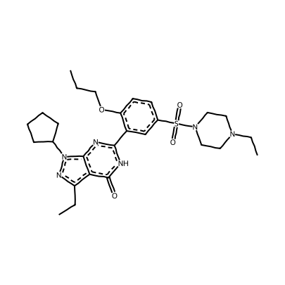 CCCOc1ccc(S(=O)(=O)N2CCN(CC)CC2)cc1-c1nc2c(c(CC)nn2C2CCCC2)c(=O)[nH]1